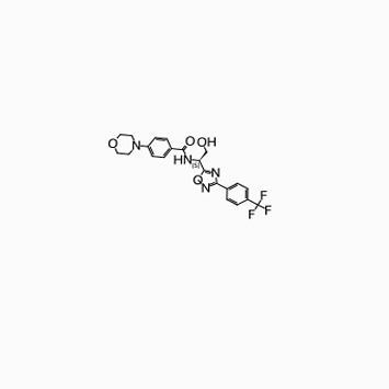 O=C(N[C@@H](CO)c1nc(-c2ccc(C(F)(F)F)cc2)no1)c1ccc(N2CCOCC2)cc1